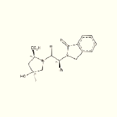 CC(C)[C@@H](C(=O)N1C[C@@](C)(O)C[C@H]1C(=O)O)N1Cc2ccccc2C1=O